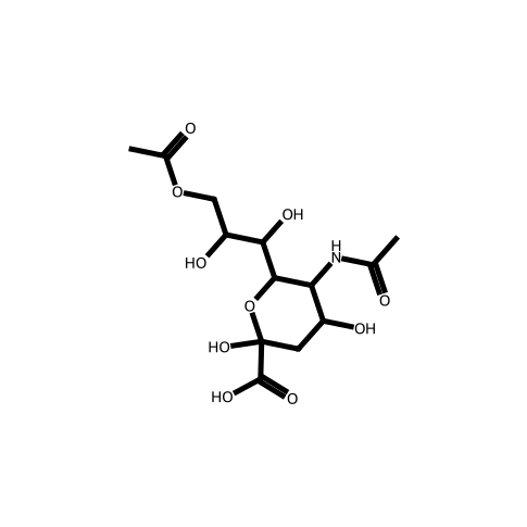 CC(=O)NC1C(O)CC(O)(C(=O)O)OC1C(O)C(O)COC(C)=O